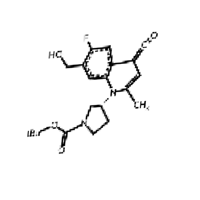 CC1=CC(=C=O)c2cc(F)c(CO)cc2N1[C@@H]1CCN(C(=O)OC(C)(C)C)C1